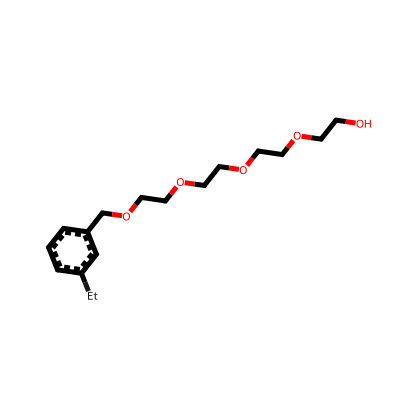 CCc1cccc(COCCOCCOCCOCCO)c1